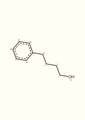 OCCCCc1cc[c]cc1